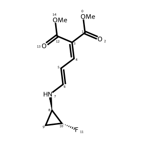 COC(=O)C(=C/C=C/N[C@@H]1C[C@H]1F)C(=O)OC